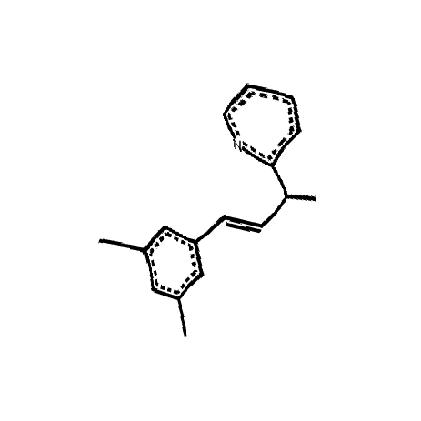 Cc1cc(C)cc(C=CC(C)c2ccccn2)c1